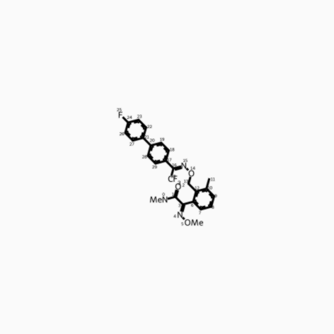 CNC(=O)/C(=N/OC)c1cccc(C)c1CO/N=C(/c1ccc(-c2ccc(F)cc2)cc1)C(F)(F)F